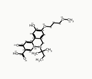 CCC(C)(C)N1Cc2cc(OCCCOC)c(O)cc2-c2cc(=O)c(C(=O)O)cn21